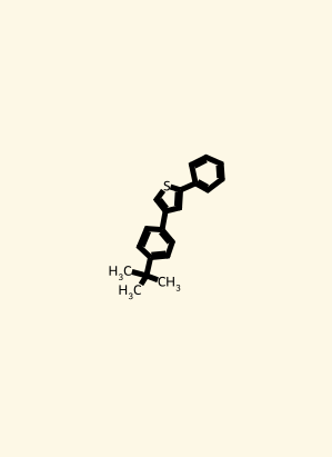 CC(C)(C)c1ccc(-c2csc(-c3ccccc3)c2)cc1